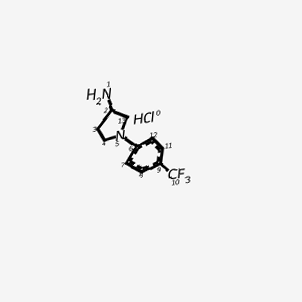 Cl.NC1CCN(c2ccc(C(F)(F)F)cc2)C1